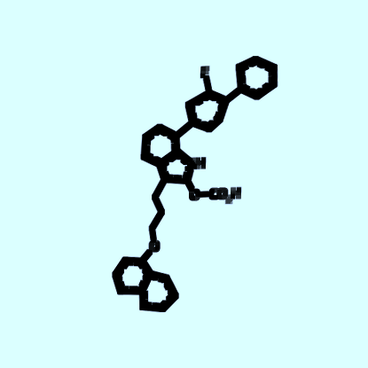 O=C(O)Oc1[nH]c2c(-c3ccc(-c4ccccc4)c(F)c3)cccc2c1CCCOc1cccc2ccccc12